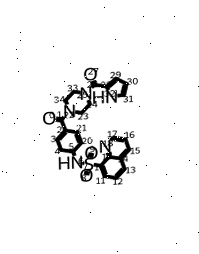 O=C(C1=CCC(NS(=O)(=O)c2cccc3cccnc23)C=C1)N1CCN(C(=O)c2ccc[nH]2)CC1